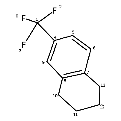 FC(F)(F)c1ccc2c(c1)CC[CH]C2